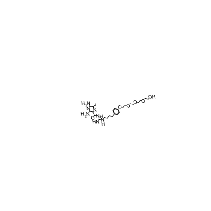 N=C(NCCCCc1ccc(OCCOCCOCCOCCO)cc1)NC(=O)c1nc(I)c(N)nc1N